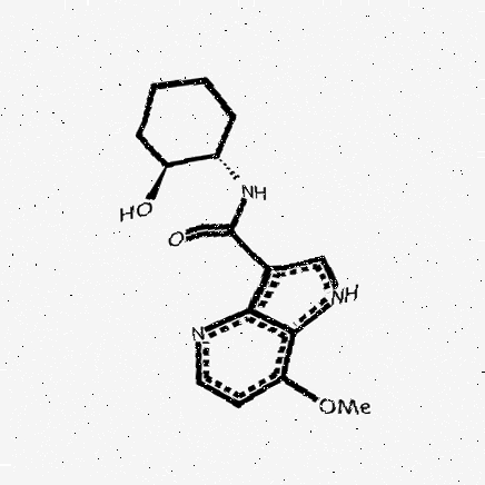 COc1ccnc2c(C(=O)N[C@H]3CCCC[C@@H]3O)c[nH]c12